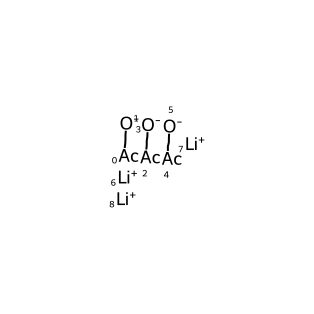 CC(=O)[O-].CC(=O)[O-].CC(=O)[O-].[Li+].[Li+].[Li+]